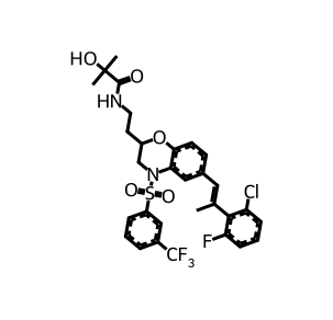 CC(=Cc1ccc2c(c1)N(S(=O)(=O)c1cccc(C(F)(F)F)c1)CC(CCNC(=O)C(C)(C)O)O2)c1c(F)cccc1Cl